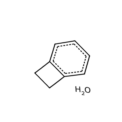 O.c1ccc2c(c1)CC2